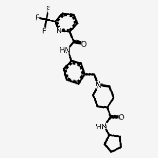 O=C(Nc1cccc(CN2CCC(C(=O)NC3CCCC3)CC2)c1)c1cccc(C(F)(F)F)n1